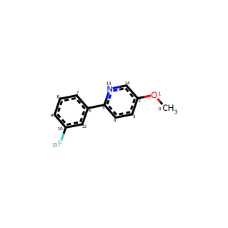 COc1c[c]c(-c2cccc(F)c2)nc1